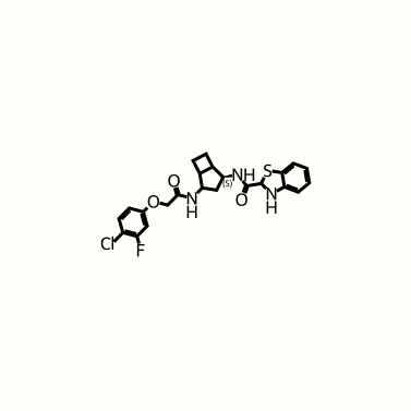 O=C(COc1ccc(Cl)c(F)c1)NC1C[C@H](NC(=O)C2Nc3ccccc3S2)C2CCC12